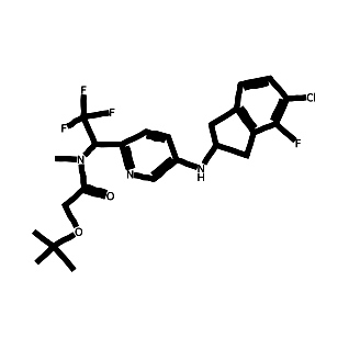 CN(C(=O)COC(C)(C)C)C(c1ccc(NC2Cc3ccc(Cl)c(F)c3C2)cn1)C(F)(F)F